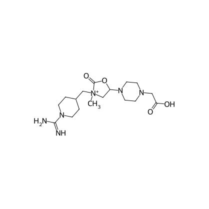 C[N+]1(CC2CCN(C(=N)N)CC2)CC(N2CCN(CC(=O)O)CC2)OC1=O